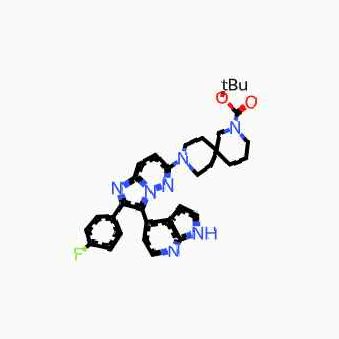 CC(C)(C)OC(=O)N1CCCC2(CCN(c3ccc4nc(-c5ccc(F)cc5)c(-c5ccnc6[nH]ccc56)n4n3)CC2)C1